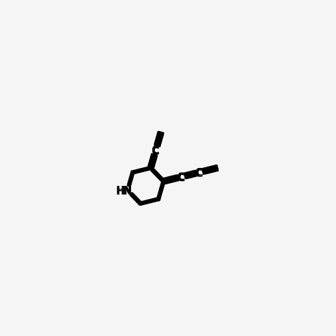 C=C=C=C1CCNCC1=C=C